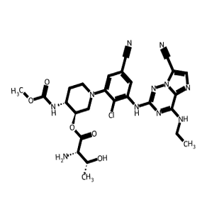 CCNc1nc(Nc2cc(C#N)cc(N3CC[C@@H](NC(=O)OC)[C@H](OC(=O)[C@@H](N)[C@@H](C)O)C3)c2Cl)nn2c(C#N)cnc12